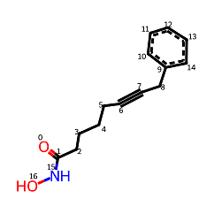 O=C(CCCCC#CCc1ccccc1)NO